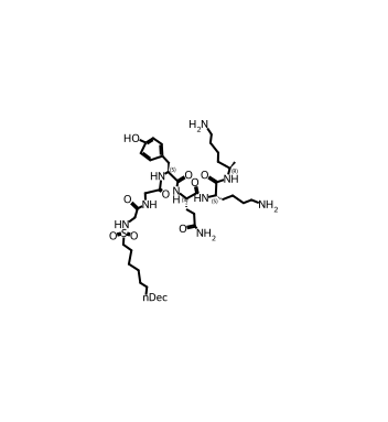 CCCCCCCCCCCCCCCCS(=O)(=O)NCC(=O)NCC(=O)N[C@@H](Cc1ccc(O)cc1)C(=O)N[C@@H](CCC(N)=O)C(=O)N[C@@H](CCCCN)C(=O)N[C@H](C)CCCCN